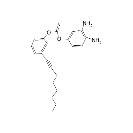 C=C(Oc1cccc(C#CCCCCCC)c1)Oc1ccc(N)c(N)c1